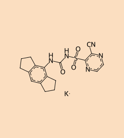 N#Cc1nccnc1S(=O)(=O)NC(=O)Nc1c2c(cc3c1CCC3)CCC2.[K]